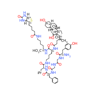 CC(C)CC(NC(=O)[C@H](Cc1ccccc1)NC(=O)CNC(=O)CNC(=O)[C@@H](N)Cc1ccc(O)cc1)C(=O)NCCCC[C@H](NC(=O)CC[C@H](C)[C@H]1CC[C@H]2[C@@H]3CC[C@@H]4C[C@H](O)CC[C@]4(C)[C@H]3C[C@H](O)[C@]12C)C(=O)N[C@@H](CCCCNC(=O)CCCC[C@@H]1SC[C@@H]2NC(=O)N[C@@H]21)C(=O)O